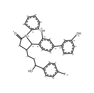 O=C1CC(CCC(O)c2ccc(F)cc2)C(c2ccc(-c3cccc(O)c3)cc2O)N1c1ccccc1